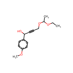 CCOC(C)OCC#CC(O)c1ccc(OC)cc1